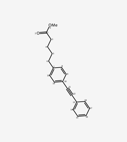 COC(=O)CCCCc1ccc(C#Cc2ccccc2)cc1